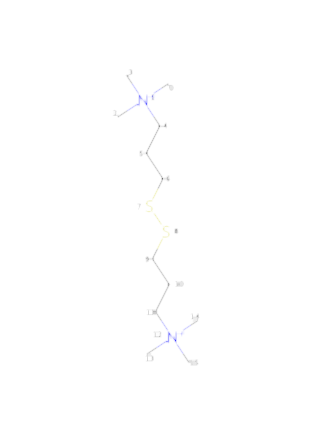 C[N+](C)(C)CCCSSCCC[N+](C)(C)C